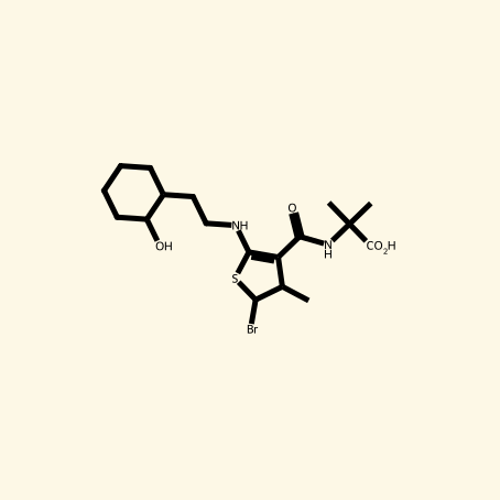 CC1C(C(=O)NC(C)(C)C(=O)O)=C(NCCC2CCCCC2O)SC1Br